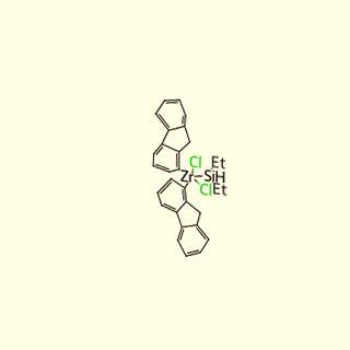 CC[SiH](CC)[Zr]([Cl])([Cl])([c]1cccc2c1Cc1ccccc1-2)[c]1cccc2c1Cc1ccccc1-2